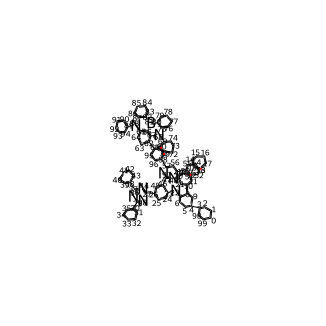 c1ccc(-c2ccc3c(c2)c2cc(-c4ccccc4)ccc2n3-c2ccc(-c3nc(-c4ccccc4)nc(-c4ccccc4)n3)cc2-c2nc(-c3ccccc3)cc(-c3ccc(-c4ccc5c6c4N(c4ccccc4)c4ccccc4B6c4ccccc4N5c4ccccc4)cc3)n2)cc1